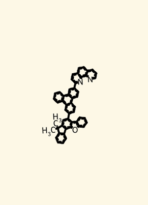 CC1(C)c2ccccc2-c2c1cc(-c1ccc3c4ccc(-c5ccc6ccc7cccnc7c6n5)cc4c4ccccc4c3c1)c1c2oc2ccccc21